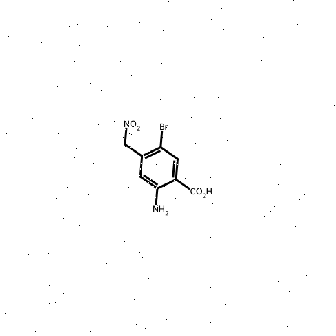 Nc1cc(C[N+](=O)[O-])c(Br)cc1C(=O)O